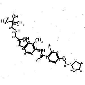 Cc1c(NC(=O)c2ccc(OC[C@@H]3CCCO3)cc2F)ccc2cc(CNCC(C)(C)O)[nH]c12